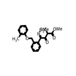 CON=C(C(=O)C(C)C(=O)OC)c1ccccc1COc1ccccc1C